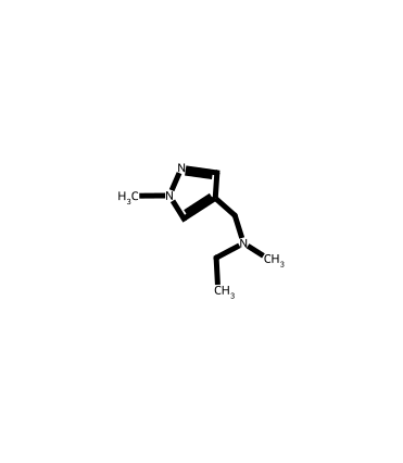 CCN(C)Cc1cnn(C)c1